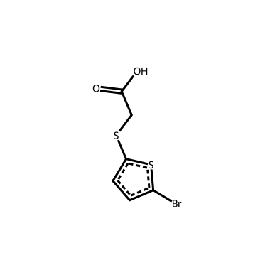 O=C(O)CSc1ccc(Br)s1